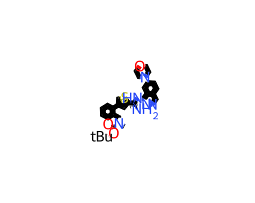 CN(Cc1ccccc1-c1csc([C@H](N)Nc2nncc3ccc(N4CCOCC4)cc23)c1)C(=O)OC(C)(C)C